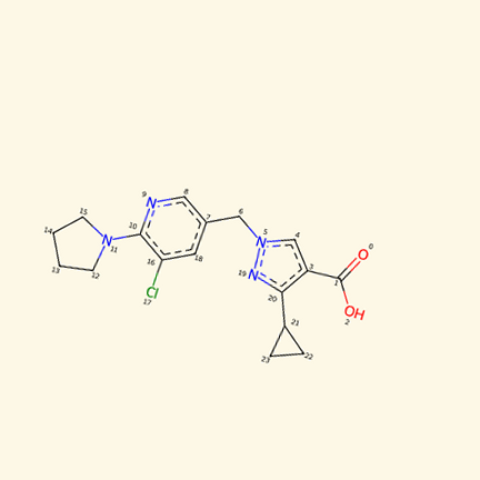 O=C(O)c1cn(Cc2cnc(N3CCCC3)c(Cl)c2)nc1C1CC1